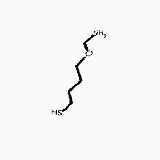 [SiH3]COCCCCS